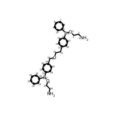 NCCOB(c1ccccc1)c1ccc(CCOCc2ccc(B(OCCN)c3ccccc3)cc2)cc1